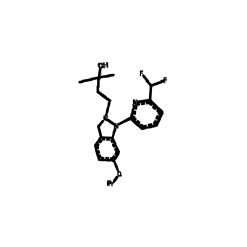 CC(C)Oc1ccc2c(c1)N(c1cccc(C(F)F)n1)N(CCC(C)(C)O)C2